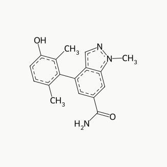 Cc1ccc(O)c(C)c1-c1cc(C(N)=O)cc2c1cnn2C